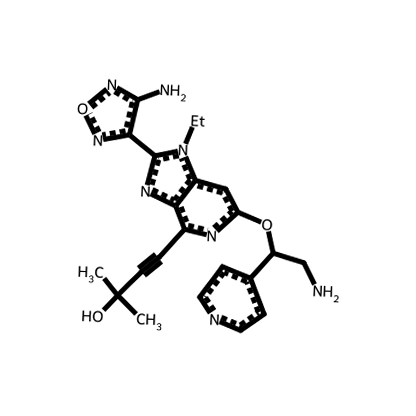 CCn1c(-c2nonc2N)nc2c(C#CC(C)(C)O)nc(OC(CN)c3ccncc3)cc21